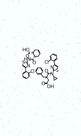 O=C(Nc1nc(-c2ccccc2Cl)cs1)[C@H]1CC=CC[C@H]1C(=O)O.O=C(O)C[C@@H](Cc1ccccc1)C(=O)N(c1nc(-c2ccccc2Cl)cs1)C1CC1